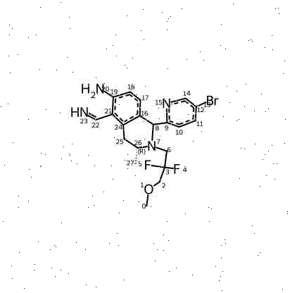 COCC(F)(F)CN1C(c2ccc(Br)cn2)c2ccc(N)c(C=N)c2C[C@H]1C